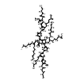 CCCCCCCCC(CCCCCC)CN1C(=O)C2=C(c3ccc(-c4cc(CCCCCC)c(-c5cc(CCCCCC)c(Br)s5)s4)s3)N(CC(CCCCCC)CCCCCCCC)C(=O)C2=C1c1ccc(-c2cc(CCCCCC)c(-c3cc(CCCCCC)c(Br)s3)s2)s1